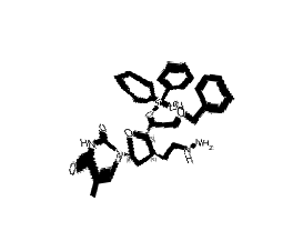 Cc1cn([C@H]2C[C@H](CCNN)[C@@H](C(COCc3ccccc3)O[Si](c3ccccc3)(c3ccccc3)C(C)(C)C)O2)c(=O)[nH]c1=O